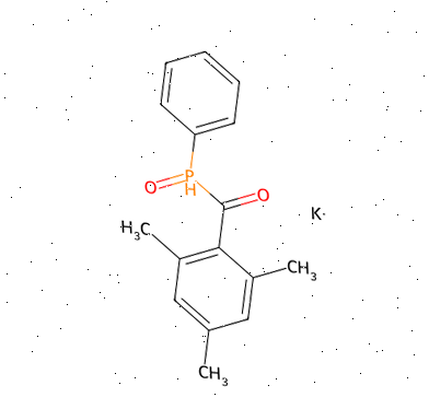 Cc1cc(C)c(C(=O)[PH](=O)c2ccccc2)c(C)c1.[K]